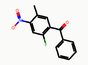 Cc1cc(C(=O)c2ccccc2)c(F)cc1[N+](=O)[O-]